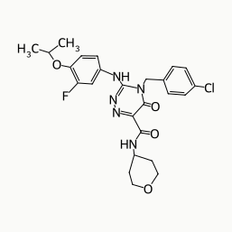 CC(C)Oc1ccc(Nc2nnc(C(=O)NC3CCOCC3)c(=O)n2Cc2ccc(Cl)cc2)cc1F